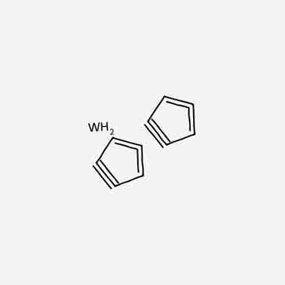 C1=CC#CC=1.C1=CC#CC=1.[WH2]